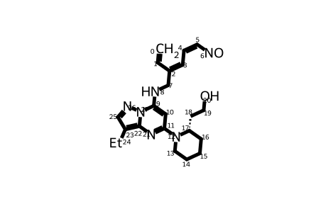 C=C/C(=C\C=C/N=O)CNc1cc(N2CCCC[C@H]2CCO)nc2c(CC)cnn12